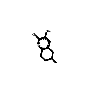 CC1CCc2nc(Cl)c([N+](=O)[O-])cc2C1